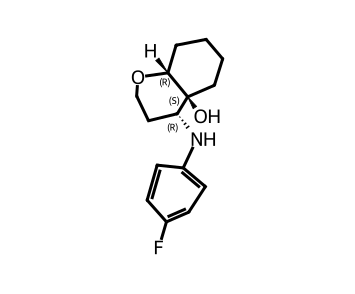 O[C@]12CCCC[C@H]1OCC[C@H]2Nc1ccc(F)cc1